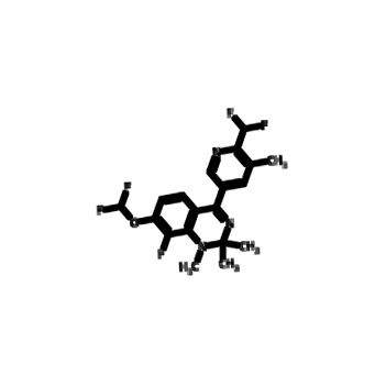 Cc1cc(C2=NC(C)(C)N(C)c3c2ccc(OC(F)F)c3F)cnc1C(F)F